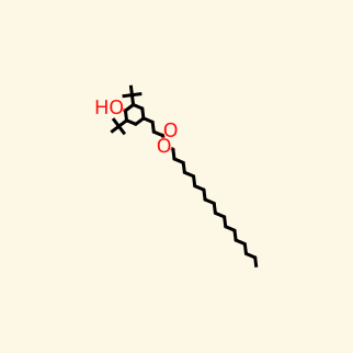 CCCCCCCCCCCCCCCCCCOC(=O)CCC1CC(C(C)(C)C)C(O)C(C(C)(C)C)C1